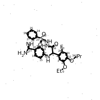 CCOc1cc(C(Nc2ccc(C(=N)N)cc2)C(=O)NNS(=O)(=O)c2ccccc2)c(F)cc1OC(C)C